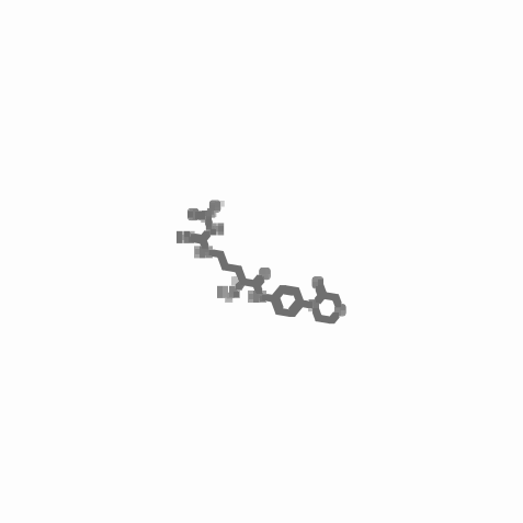 N=C(NCCC[C@H](N)C(=O)Nc1ccc(N2CCOCC2=O)cc1)N[N+](=O)[O-]